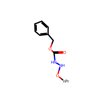 CCCONNC(=O)OCc1ccccc1